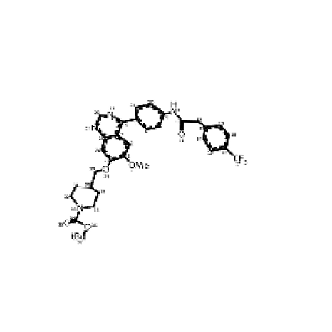 COc1cc2c(-c3ccc(NC(=O)Cc4ccc(C(F)(F)F)cc4)cc3)ncnc2cc1OCC1CCN(C(=O)OC(C)(C)C)CC1